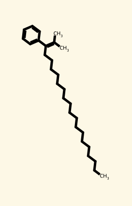 CCCCCCCCCCCCCCCCCCC(=C(C)C)c1ccccc1